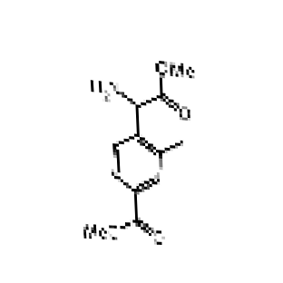 COC(=O)c1ccc(C(N)C(=O)OC)c(C)c1